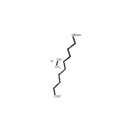 CCCCCCCCCCCCCCCCCC(=O)[O-].CO.[K+]